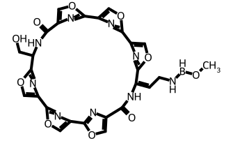 COBNC/C=C1/NC(=O)c2coc(n2)-c2coc(n2)-c2coc(n2)C(CO)NC(=O)c2coc(n2)-c2coc(n2)-c2coc1n2